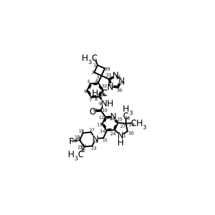 CC1CC(c2cccc(NC(=O)c3cc(CN4CC[C@H](F)[C@H](C)C4)c4c(n3)C(C)(C)CN4)c2)(c2nncn2C)C1